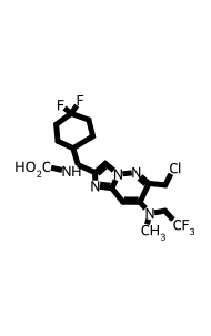 CN(CC(F)(F)F)c1cc2nc(C(NC(=O)O)C3CCC(F)(F)CC3)cn2nc1CCl